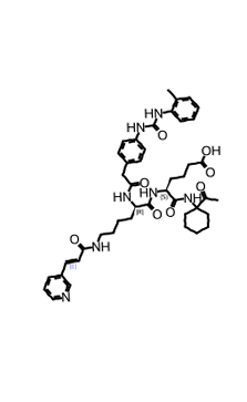 CC(=O)C1(NC(=O)[C@H](CCCC(=O)O)NC(=O)[C@@H](CCCCNC(=O)/C=C/c2cccnc2)NC(=O)Cc2ccc(NC(=O)Nc3ccccc3C)cc2)CCCCC1